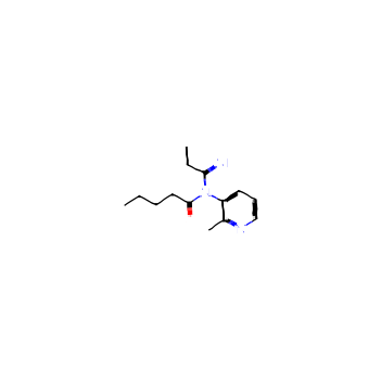 CCCCC(=O)N(C(=N)CC)c1cccnc1C